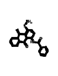 C=C1c2ccccc2C(=O)c2c(NC(=O)c3ccccc3)ccc(SN)c21